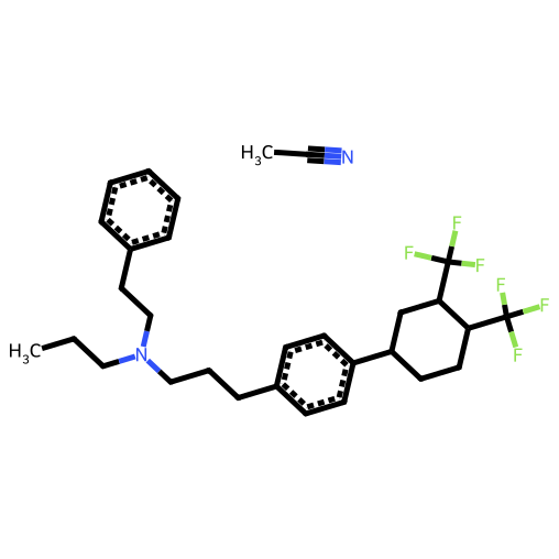 CC#N.CCCN(CCCc1ccc(C2CCC(C(F)(F)F)C(C(F)(F)F)C2)cc1)CCc1ccccc1